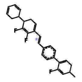 CC1C=C(F)C(c2ccc(/C=C/C3=CCC(C4C=CC=CC4)C(F)=C3F)cc2)=CC1